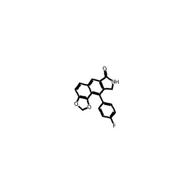 O=C1NCc2c1cc1ccc3c(c1c2-c1ccc(F)cc1)OCO3